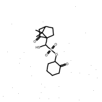 CC1(C)C2CCC1(C(S)S(=O)(=O)OC1CCCCC1=O)C(=O)C2